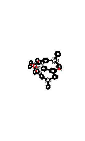 Cc1cc(-c2cc(-n3c4cc(-c5nc(-c6ccccc6)nc(-c6ccccc6)n5)ccc4c4ccc(-c5nc(-c6ccccc6)nc(-c6ccccc6)n5)cc43)c(C#N)c(-n3c4cc(-c5nc(-c6ccccc6)nc(-c6ccccc6)n5)ccc4c4ccc(-c5nc(-c6ccccc6)nc(-c6ccccc6)n5)cc43)c2)cc(C(F)(F)F)c1